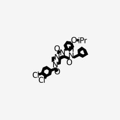 CC(C)Oc1ccc(-n2c(C(=O)NCc3ccccc3)c3n(c2=O)CCN(C(=O)c2ccc(Cl)c(Cl)c2)C3)cc1